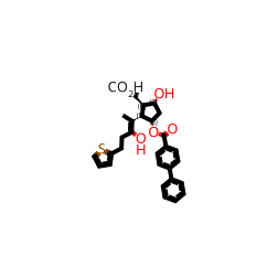 CC(=C(O)CCc1cccs1)[C@@H]1[C@@H](CC(=O)O)[C@@H](O)C[C@@H]1OC(=O)c1ccc(-c2ccccc2)cc1